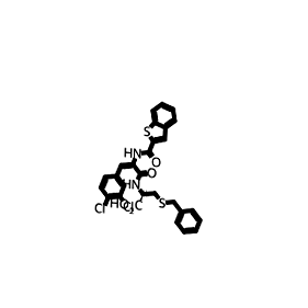 O=C(N[C@H](CSCc1ccccc1)C(=O)O)C(=Cc1ccc(Cl)c(Cl)c1)NC(=O)c1cc2ccccc2s1